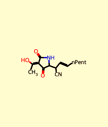 CCCCCC=CC(C#N)C1NC(=O)C(=C(C)O)C1=O